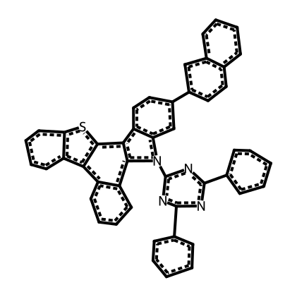 c1ccc(-c2nc(-c3ccccc3)nc(-n3c4cc(-c5ccc6ccccc6c5)ccc4c4c5sc6ccccc6c5c5ccccc5c43)n2)cc1